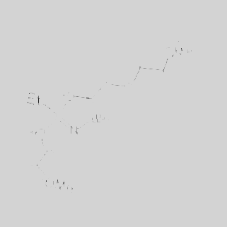 CCP(=NC(C)(C)C)(OCCOC)OCCOCCOC